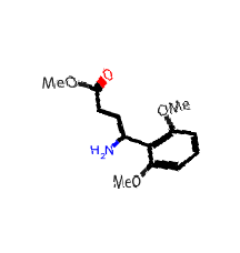 COC(=O)CCC(N)c1c(OC)cccc1OC